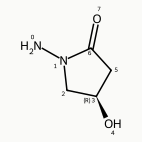 NN1C[C@H](O)CC1=O